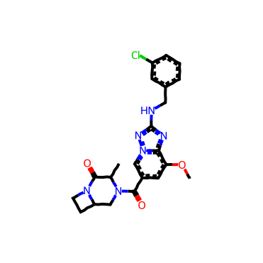 COc1cc(C(=O)N2CC3CCN3C(=O)C2C)cn2nc(NCc3cccc(Cl)c3)nc12